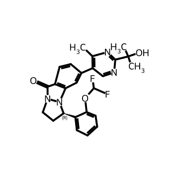 Cc1nc(C(C)(C)O)ncc1-c1ccc2c(=O)n3n(c2c1)[C@@H](c1ccccc1OC(F)F)CC3